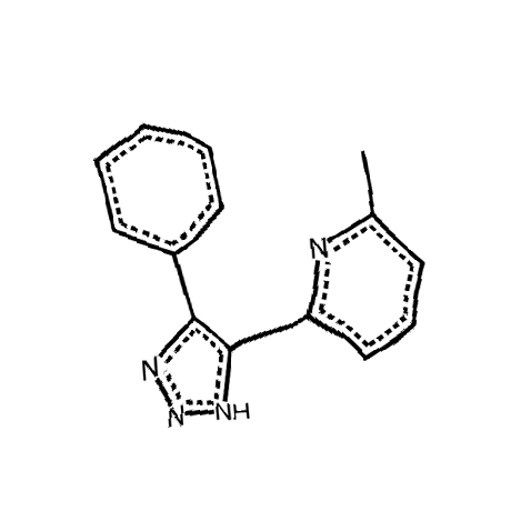 Cc1cccc(-c2[nH]nnc2-c2ccccc2)n1